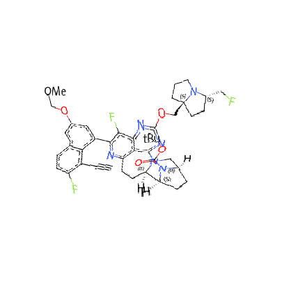 C#Cc1c(F)ccc2cc(OCOC)cc(-c3nc4c5c(nc(OC[C@@]67CCCN6[C@H](CF)CC7)nc5c3F)N3C[C@H]5CC[C@@H]([C@H]3CC4)N5C(=O)OC(C)(C)C)c12